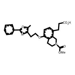 COC(=O)N1CCc2c(OCCc3nc(-c4ccccc4)oc3C)ccc(CCC(=O)O)c2C1